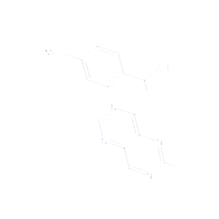 CSc1ccc(C(C)Sc2ncnc3cnc(Cl)nc23)cc1